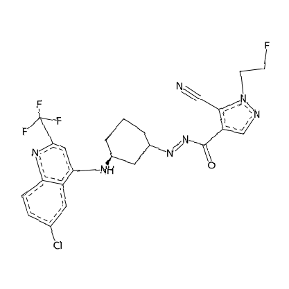 N#Cc1c(C(=O)/N=N/C2CCC[C@H](Nc3cc(C(F)(F)F)nc4ccc(Cl)cc34)C2)cnn1CCF